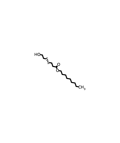 CCCCCCCCCOC(=O)CCSSCCO